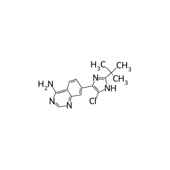 CC(C)(C)c1nc(-c2ccc3c(N)ncnc3c2)c(Cl)[nH]1